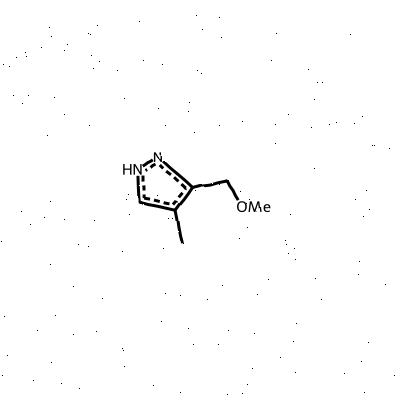 COCc1n[nH]cc1C